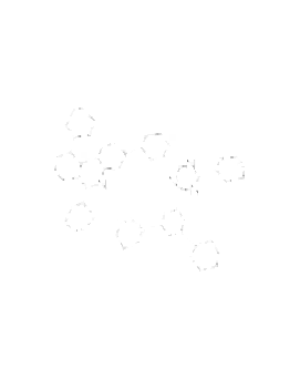 c1ccc(-c2cc(-c3ccccc3)cc(-c3nc(-c4ccccc4)nc(-c4cccc(-c5ccc6c(c5)nc(-c5ccccc5)c5cccc(-c7ccccc7)c56)c4)n3)c2)cc1